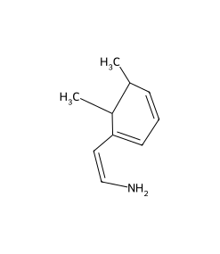 CC1C=CC=C(/C=C\N)C1C